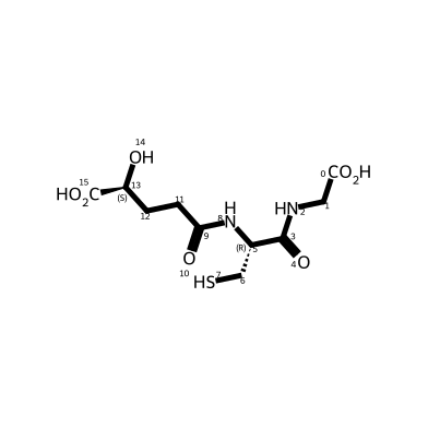 O=C(O)CNC(=O)[C@H](CS)NC(=O)CC[C@H](O)C(=O)O